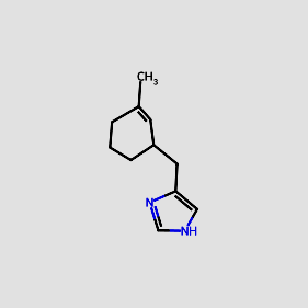 CC1=CC(Cc2c[nH]cn2)CCC1